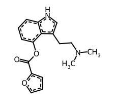 CN(C)CCc1c[nH]c2cccc(OC(=O)c3ccco3)c12